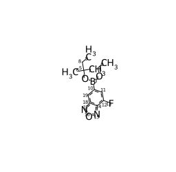 CCOB(OC(C)(C)CC)c1cc(F)c2nonc2c1